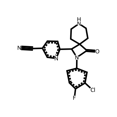 N#Cc1ccc(C2N(c3ccc(F)c(Cl)c3)C(=O)C23CCNCC3)nc1